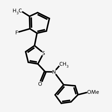 COc1cccc(N(C)C(=O)c2ccc(-c3cccc(C)c3F)s2)c1